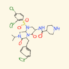 CC(C)N1CC2N(C(=O)C(NC(=O)C3CCNCC3)CN2S(=O)(=O)c2ccc(Cl)cc2Cl)C(Cc2ccc(Cl)cc2)C1=O